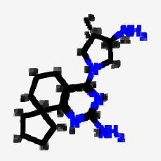 C[C@H]1CN(c2nc(N)nc3c2CCCC32CCCC2)C[C@@H]1N